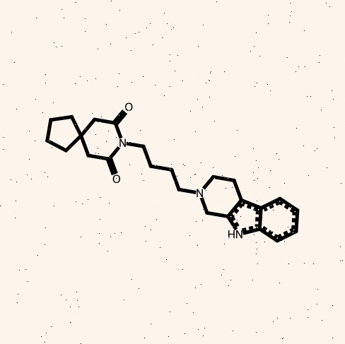 O=C1CC2(CCCC2)CC(=O)N1CCCCN1CCc2c([nH]c3ccccc23)C1